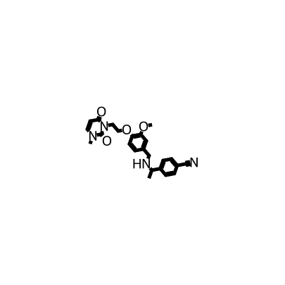 COc1cc(CNC(C)c2ccc(C#N)cc2)ccc1OCCn1c(=O)ccn(C)c1=O